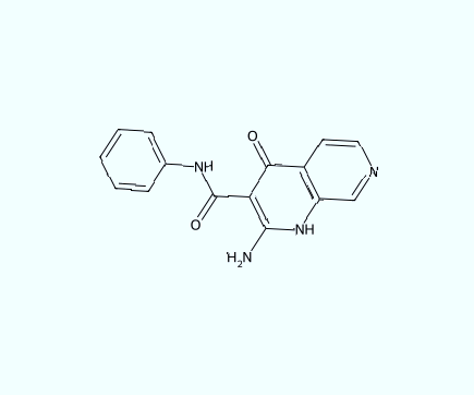 Nc1[nH]c2cnccc2c(=O)c1C(=O)Nc1ccccc1